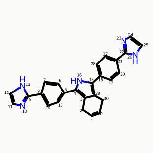 C1=CCc2c(-c3ccc(-c4ncc[nH]4)cc3)[nH]c(-c3ccc(-c4ncc[nH]4)cc3)c2C1